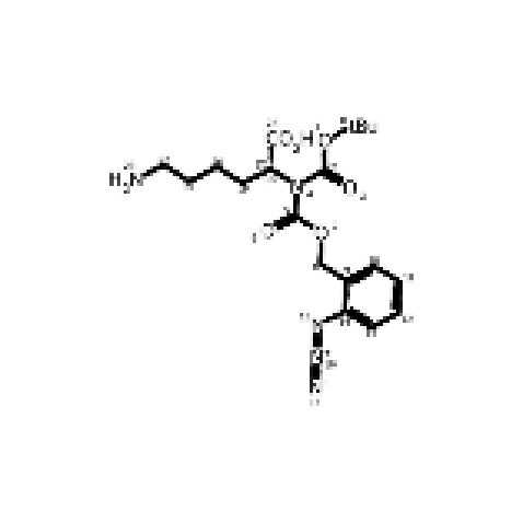 CC(C)(C)OC(=O)N(C(=O)OCc1ccccc1N=[N+]=[N-])[C@@H](CCCCN)C(=O)O